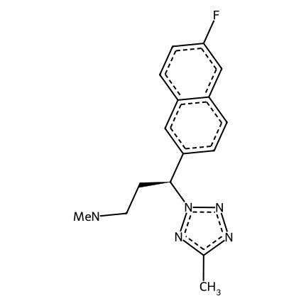 CNCC[C@@H](c1ccc2cc(F)ccc2c1)n1nnc(C)n1